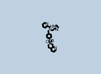 O=S(=O)(c1ccc(CN(Cc2ccccn2)Cc2ncc[nH]2)cc1)N1CCc2cccnc2C1